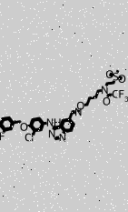 CS(=O)(=O)CCN(CCCCO/N=C/c1ccc2ncnc(Nc3ccc(OCc4cccc(F)c4)c(Cl)c3)c2c1)C(=O)C(F)(F)F